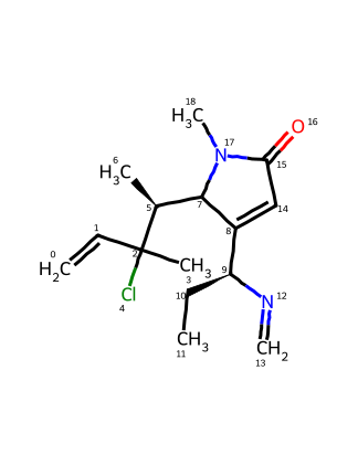 C=CC(C)(Cl)[C@@H](C)C1C([C@H](CC)N=C)=CC(=O)N1C